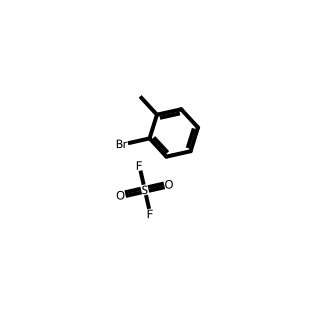 Cc1ccccc1Br.O=S(=O)(F)F